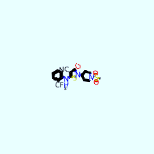 CS(=O)(=O)N1CCC(n2sc(Nc3ccccc3C(F)(F)F)c(C#N)c2=O)CC1